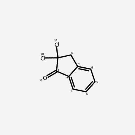 O=C1c2ccccc2CC1(Cl)Cl